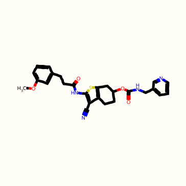 COc1cccc(CCC(=O)Nc2sc3c(c2C#N)CCC(OC(=O)NCc2cccnc2)C3)c1